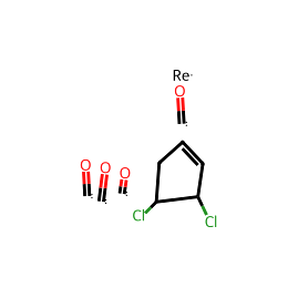 ClC1C=CCC1Cl.[C]=O.[C]=O.[C]=O.[C]=O.[Re]